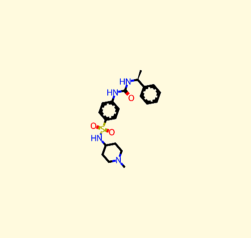 C[C@H](NC(=O)Nc1ccc(S(=O)(=O)NC2CCN(C)CC2)cc1)c1ccccc1